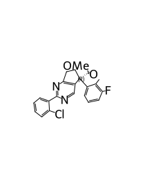 COC(=O)[C@@]1(c2cccc(F)c2C)CCc2nc(-c3ccccc3Cl)ncc21